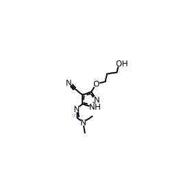 CN(C)/C=N\c1[nH]nc(OCCCO)c1C#N